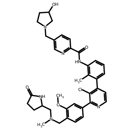 COc1cc(-c2nccc(-c3cccc(NC(=O)c4ccc(CN5CCC(O)C5)cn4)c3C)c2Cl)ccc1CN(C)CC1CCC(=O)N1